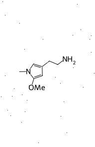 COc1cc(CCN)cn1C